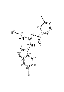 Cc1cccc(C(=O)/N=C(/NCC(C)C)Nc2n[nH]c3cc(F)ccc23)c1